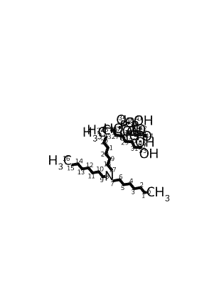 CCCCCCCCN(CCCCCCCC)CCCCCCCC.CCCCCCCCO.O=P(O)(O)OP(=O)(O)OP(=O)(O)O